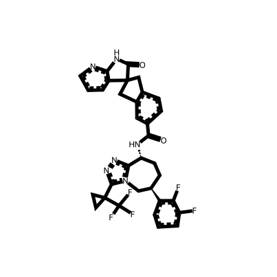 O=C(N[C@@H]1CC[C@@H](c2cccc(F)c2F)Cn2c1nnc2C1(C(F)(F)F)CC1)c1ccc2c(c1)CC1(C2)C(=O)Nc2ncccc21